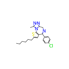 CCCCCCc1cc2c(s1)-n1c(C)nnc1CN=C2c1ccc(Cl)cc1